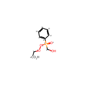 O=C(O)COOP(=O)(CO)c1ccccc1